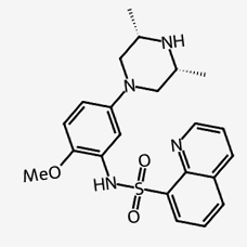 COc1ccc(N2C[C@@H](C)N[C@@H](C)C2)cc1NS(=O)(=O)c1cccc2cccnc12